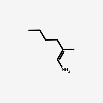 CCCCC(C)=CN